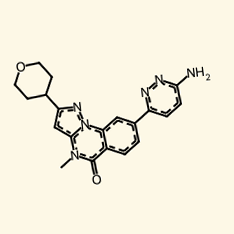 Cn1c(=O)c2ccc(-c3ccc(N)nn3)cc2n2nc(C3CCOCC3)cc12